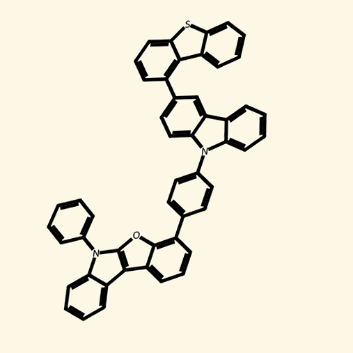 c1ccc(-n2c3ccccc3c3c4cccc(-c5ccc(-n6c7ccccc7c7cc(-c8cccc9sc%10ccccc%10c89)ccc76)cc5)c4oc32)cc1